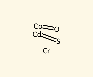 [Cr].[O]=[Co].[S]=[Cd]